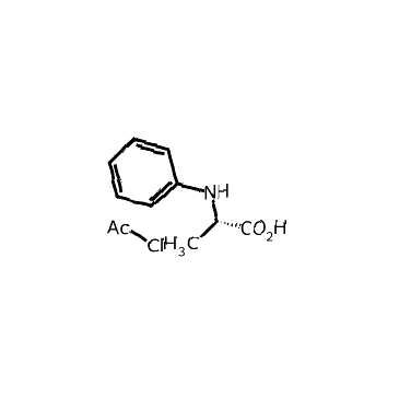 CC(=O)Cl.C[C@H](Nc1ccccc1)C(=O)O